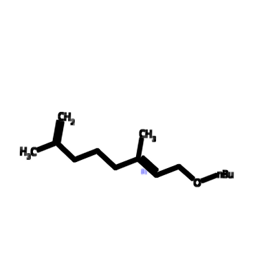 C=C(C)CCC/C(C)=C/COCCCC